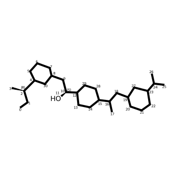 CC[C@@H](C)C1CCCC(C[C@H](O)C2CCC(C(C)CC3CCCC(C(C)C)C3)CC2)C1